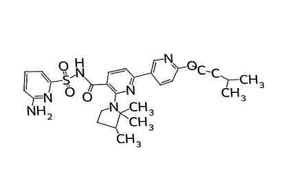 CC(C)CCOc1ccc(-c2ccc(C(=O)NS(=O)(=O)c3cccc(N)n3)c(N3CCC(C)C3(C)C)n2)cn1